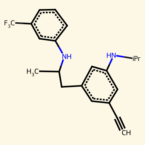 C#Cc1cc(CC(C)Nc2cccc(C(F)(F)F)c2)cc(NC(C)C)c1